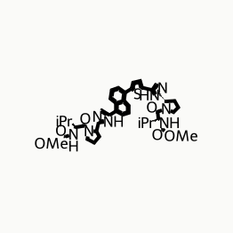 COC(=O)N[C@H](C(=O)N1CCCC1c1ncc(-c2cccc3c(-c4ccc(-c5cnc([C@@H]6CCCN6C(=O)[C@@H](NC(=O)OC)C(C)C)[nH]5)s4)cccc23)[nH]1)C(C)C